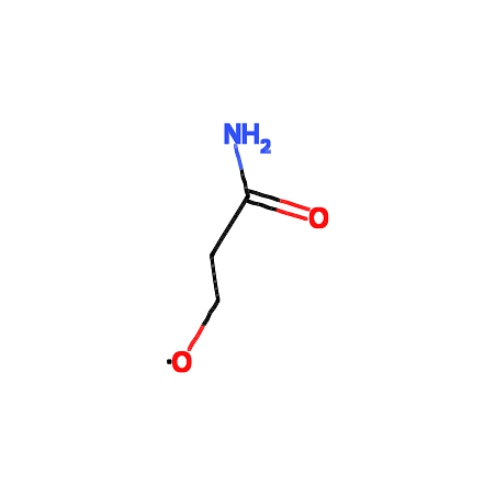 NC(=O)CC[O]